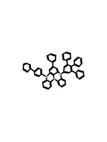 c1ccc(-c2ccc(N3c4ccccc4B4c5ccccc5N(c5cc(-c6ccccc6)c(-c6ccccc6)c(-c6ccccc6)c5)c5cc(-c6ccccc6)cc3c54)cc2)cc1